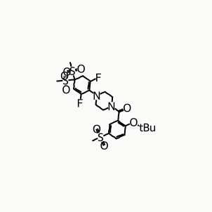 CC(C)(C)Oc1ccc(S(C)(=O)=O)cc1C(=O)N1CCN(C2=C(F)CC(S(C)(=O)=O)(S(C)(=O)=O)C=C2F)CC1